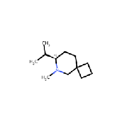 CC(C)[C@H]1CCC2(CCC2)CN1C